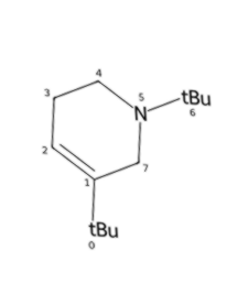 CC(C)(C)C1=CCCN(C(C)(C)C)C1